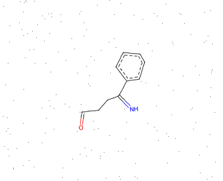 N=C(CC[C]=O)c1ccccc1